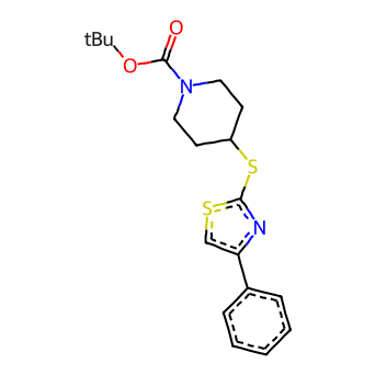 CC(C)(C)OC(=O)N1CCC(Sc2nc(-c3ccccc3)cs2)CC1